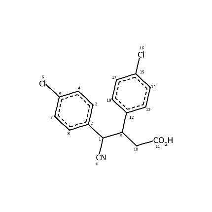 N#CC(c1ccc(Cl)cc1)C(CC(=O)O)c1ccc(Cl)cc1